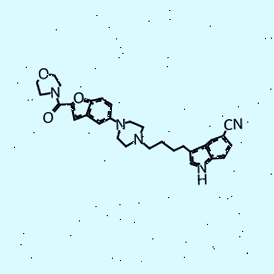 N#Cc1ccc2[nH]cc(CCCCN3CCN(c4ccc5oc(C(=O)N6CCOCC6)cc5c4)CC3)c2c1